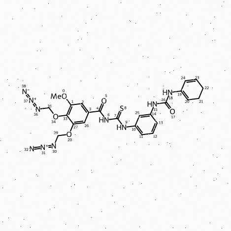 COc1cc(C(=O)NC(=S)Nc2cccc(NC(=O)NC3=CCCC=C3)c2)cc(OCN=[N+]=[N-])c1OCN=[N+]=[N-]